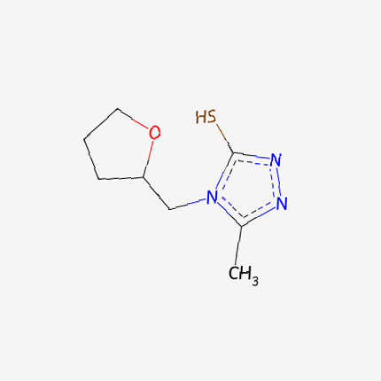 Cc1nnc(S)n1CC1CCCO1